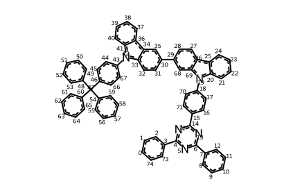 c1ccc(-c2nc(-c3ccccc3)nc(-c3ccc(-n4c5ccccc5c5ccc(-c6ccc7c(c6)c6ccccc6n7-c6ccc(C(c7ccccc7)(c7ccccc7)c7ccccc7)cc6)cc54)cc3)n2)cc1